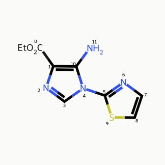 CCOC(=O)c1ncn(-c2nccs2)c1N